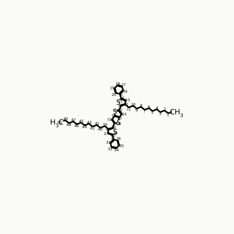 CCCCCCCCCCCCc1cc(-c2ccccc2)sc1-c1cc2sc(-c3sc(-c4ccccc4)cc3CCCCCCCCCCCC)cc2s1